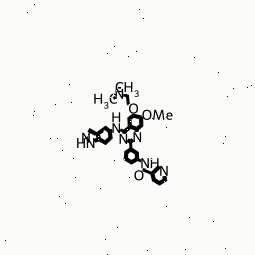 COc1cc2nc(-c3cccc(NC(=O)c4cccnc4)c3)nc(Nc3ccc4[nH]ncc4c3)c2cc1OCCN(C)C